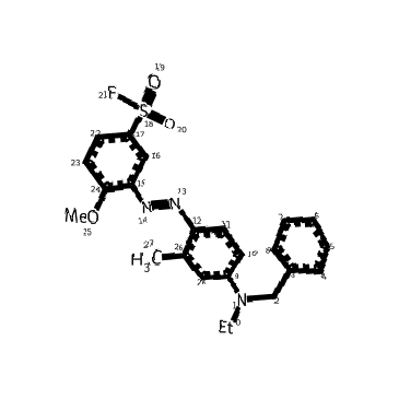 CCN(Cc1ccccc1)c1ccc(/N=N/c2cc(S(=O)(=O)F)ccc2OC)c(C)c1